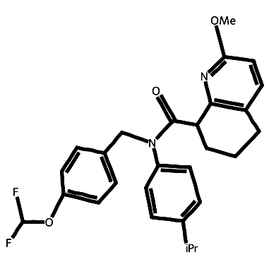 COc1ccc2c(n1)C(C(=O)N(Cc1ccc(OC(F)F)cc1)c1ccc(C(C)C)cc1)CCC2